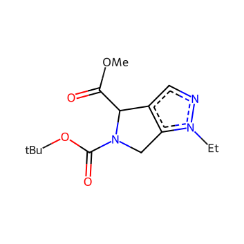 CCn1ncc2c1CN(C(=O)OC(C)(C)C)C2C(=O)OC